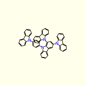 c1ccc2c(c1)c1ccccc1n2-c1ccc(-n2c3ccccc3c3cc(-n4c5ccccc5c5ccccc54)cc(-n4c5ccccc5c5ccccc54)c32)cc1